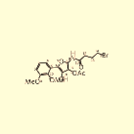 COc1cccc(-c2oc(NC(=O)CCCBr)c(OC(C)=O)c2O)c1OC